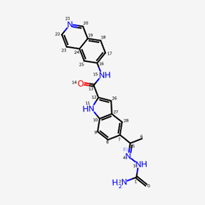 C=C(N)N/N=C(\C)c1ccc2[nH]c(C(=O)Nc3ccc4cnccc4c3)cc2c1